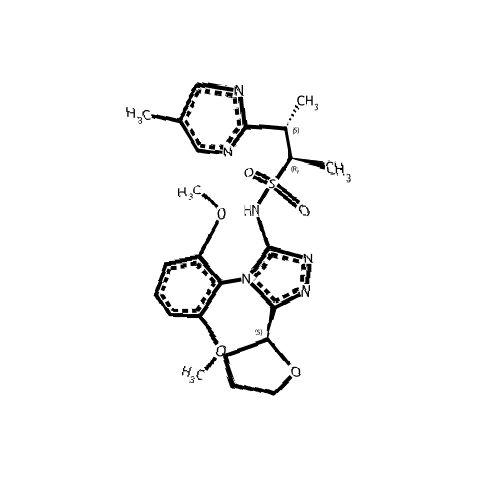 COc1cccc(OC)c1-n1c(NS(=O)(=O)[C@H](C)[C@@H](C)c2ncc(C)cn2)nnc1[C@@H]1CCCO1